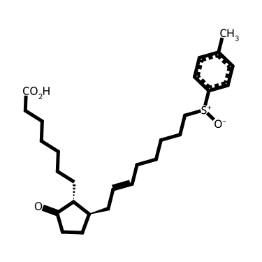 Cc1ccc([S+]([O-])CCCCC/C=C/C[C@H]2CCC(=O)[C@@H]2CCCCCCC(=O)O)cc1